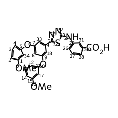 COc1cccc(Oc2cc(Oc3cccc(OC)c3)cc(-c3nnc(Nc4cccc(C(=O)O)c4)s3)c2)c1